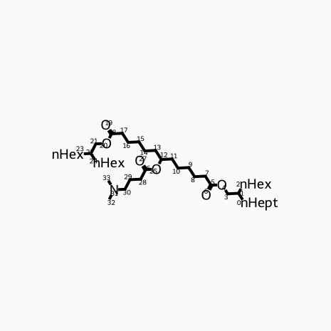 CCCCCCCC(CCCCCC)COC(=O)CCCCCC(CCCCCC(=O)OCC(CCCCCC)CCCCCC)OC(=O)CCCN(C)C